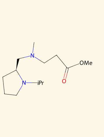 COC(=O)CCN(C)C[C@@H]1CCCN1C(C)C